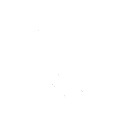 CC(=O)Nc1ncnn2c(C3CCC(COC(C)=O)O3)ccc12